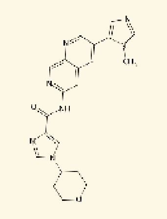 Cn1cncc1-c1cnc2cnc(NC(=O)c3cn(C4CCOCC4)cn3)cc2c1